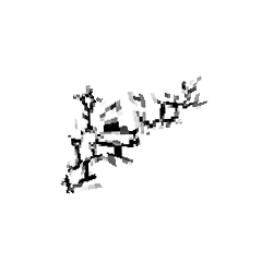 Cc1ncnc(C2CC2)c1-c1ncc2nc(NCc3ccc([S+](C)[O-])cc3)c(=O)n([C@@H](C)C3CCC3)c2n1